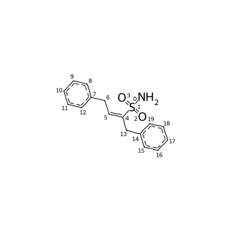 NS(=O)(=O)C(=CCc1ccccc1)Cc1ccccc1